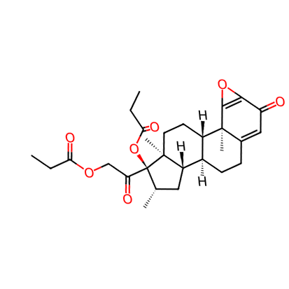 CCC(=O)OCC(=O)[C@@]1(OC(=O)CC)[C@@H](C)C[C@H]2[C@@H]3CCC4=CC(=O)C5=C(O5)[C@]4(C)[C@H]3CC[C@@]21C